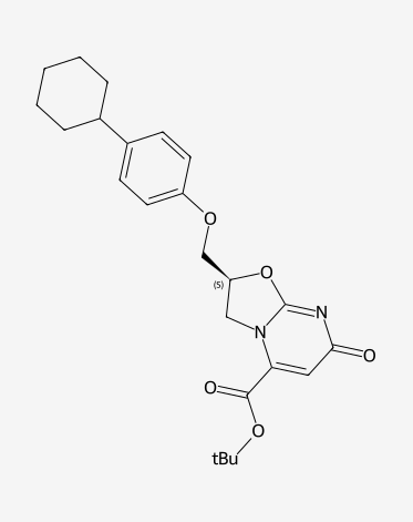 CC(C)(C)OC(=O)c1cc(=O)nc2n1C[C@@H](COc1ccc(C3CCCCC3)cc1)O2